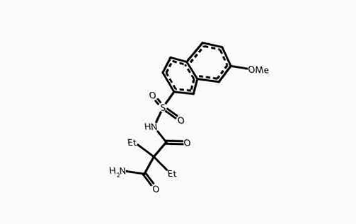 CCC(CC)(C(N)=O)C(=O)NS(=O)(=O)c1ccc2ccc(OC)cc2c1